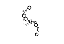 Nc1nc(Nc2ccc(OCCN3CCCC3)cc2)nn1-c1cc2c(nn1)CCN(C(=O)OCc1ccccc1)C2